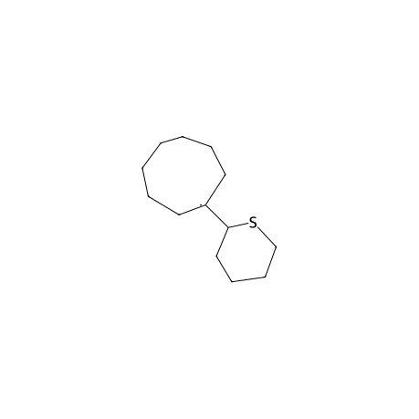 C1CCC[C](C2CCCCS2)CCC1